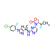 C[C@H](Nc1nccc(N2C(=O)OCC2[C@H](C)F)n1)c1cn(-c2ccc(Cl)cc2F)cn1